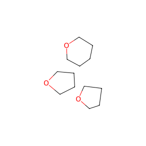 C1CCOC1.C1CCOC1.C1CCOCC1